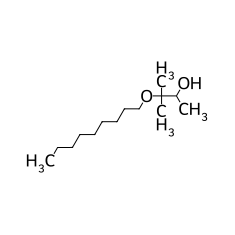 CCCCCCCCCOC(C)(C)C(C)O